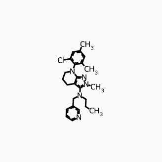 CCCN(Cc1cccnc1)c1c2c(nn1C)N(c1c(C)cc(C)cc1Cl)CCC2